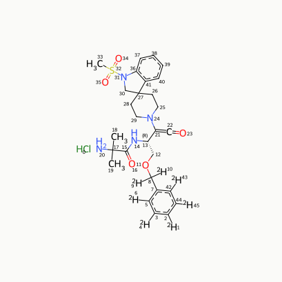 Cl.[2H]c1c([2H])c([2H])c(C([2H])([2H])OC[C@H](NC(=O)C(C)(C)N)C(=C=O)N2CCC3(CC2)CN(S(C)(=O)=O)c2ccccc23)c([2H])c1[2H]